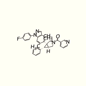 C=C(/C(C)=C\c1c(C)cnn1-c1ccc(F)cc1)[C@]12CN(C(=O)c3cccnc3)C[C@H]1[C@@H]2c1ccccc1